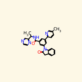 Cc1ccc(-c2cc(C(=O)NC(C)c3cnccn3)cc(N3C(=O)Cc4ccccc43)c2)nc1